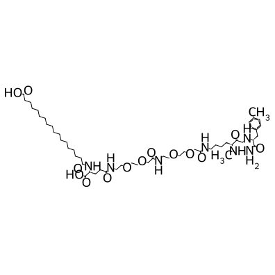 CN[C@@H](CCCCNC(=O)COCCOCCNC(=O)COCCOCCNC(=O)CC[C@H](NC(=O)CCCCCCCCCCCCCCCCC(=O)O)C(=O)O)C(=O)CN[C@@H](Cc1ccc(C)cc1)C(N)=O